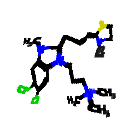 CCN1CCSC1=CC=CC1N(C)c2cc(Cl)c(Cl)cc2N1CCC[N+](C)(C)C